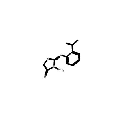 CC(C)c1ccccc1/N=C1/SCC(=O)N1N